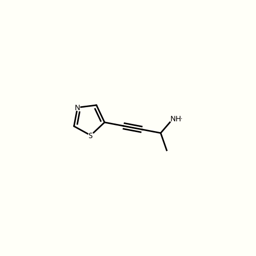 CC([NH])C#Cc1cncs1